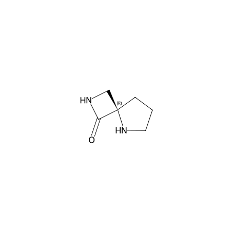 O=C1NC[C@]12CCCN2